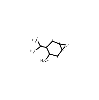 CC(C)C1CC2OC2CC1C